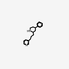 c1ccc(C2CCNC(CCCc3cccnc3)C2)cc1